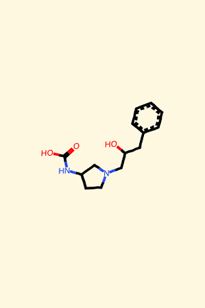 O=C(O)NC1CCN(CC(O)Cc2ccccc2)C1